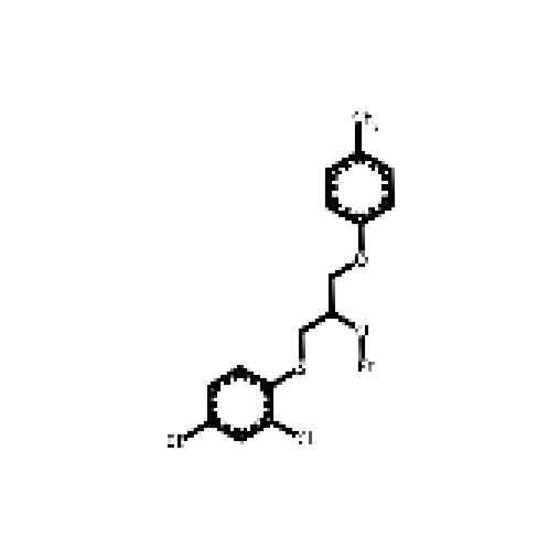 CCOC(COc1ccc(C(F)(F)F)cc1)CSc1ccc(CC)cc1Cl